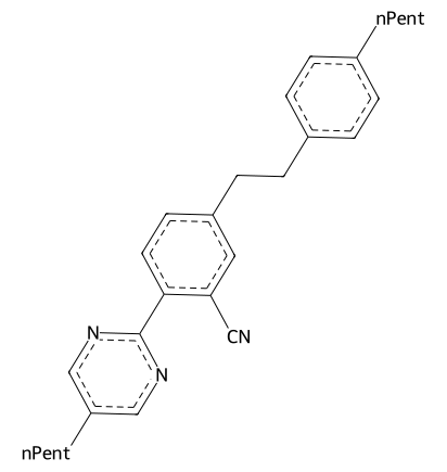 CCCCCc1ccc(CCc2ccc(-c3ncc(CCCCC)cn3)c(C#N)c2)cc1